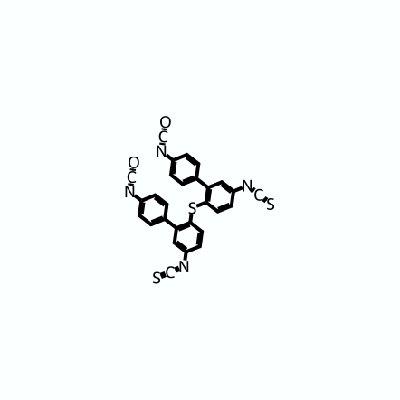 O=C=Nc1ccc(-c2cc(N=C=S)ccc2Sc2ccc(N=C=S)cc2-c2ccc(N=C=O)cc2)cc1